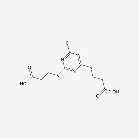 O=C(O)CCSc1nc(Cl)nc(SCCC(=O)O)n1